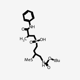 CSC(CCP(=O)(O)CC(C)C(=O)Nc1ccccc1)CNC(=O)OC(C)(C)C